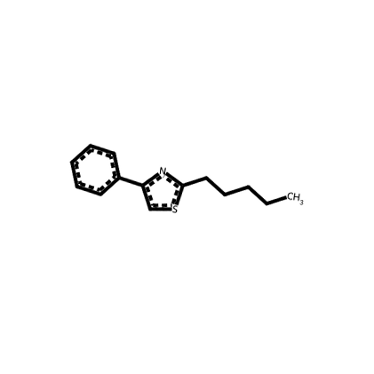 CCCCCc1nc(-c2ccccc2)cs1